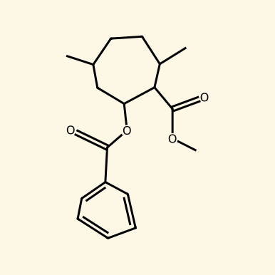 COC(=O)C1C(C)CCC(C)CC1OC(=O)c1ccccc1